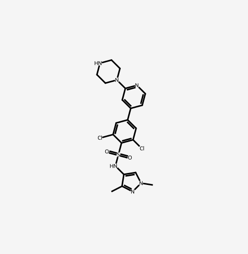 Cc1nn(C)cc1NS(=O)(=O)c1c(Cl)cc(-c2ccnc(N3CCNCC3)c2)cc1Cl